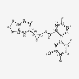 Cc1ncc(-c2cc(=O)n(C)cc2C)c(OCC2C[C@H]2c2ccc3c(n2)CCC3)n1